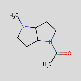 CC(=O)N1CCC2C1CCN2C